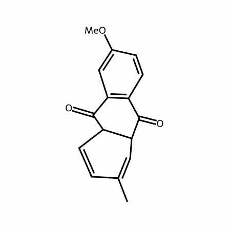 COc1ccc2c(c1)C(=O)C1C=CC(C)=CC1C2=O